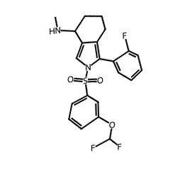 CNC1CCCc2c1cn(S(=O)(=O)c1cccc(OC(F)F)c1)c2-c1ccccc1F